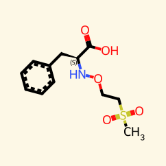 CS(=O)(=O)CCON[C@@H](Cc1ccccc1)C(=O)O